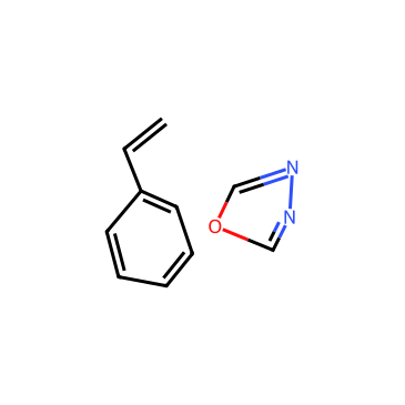 C=Cc1ccccc1.c1nnco1